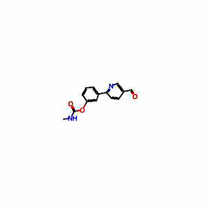 CNC(=O)Oc1cccc(-c2ccc(C=O)cn2)c1